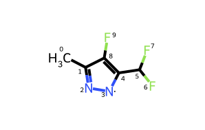 CC1=N[N]C(C(F)F)=C1F